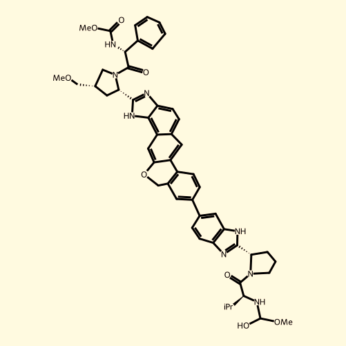 COC[C@H]1C[C@@H](c2nc3ccc4cc5c(cc4c3[nH]2)OCc2cc(-c3ccc4nc([C@@H]6CCCN6C(=O)[C@@H](NC(O)OC)C(C)C)[nH]c4c3)ccc2-5)N(C(=O)[C@H](NC(=O)OC)c2ccccc2)C1